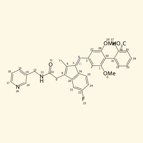 COc1cc(/C=C2/C(C)=C(CC(=O)NCc3cccnc3)c3cc(F)ccc32)cc(OC)c1-c1ccccc1C(=O)O